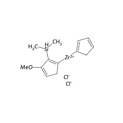 COC1=CC[C]([Zr+2][C]2=CC=CC2)=C1[SiH](C)C.[Cl-].[Cl-]